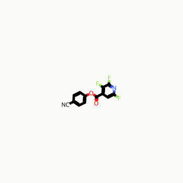 N#Cc1ccc(OC(=O)c2cc(F)nc(F)c2F)cc1